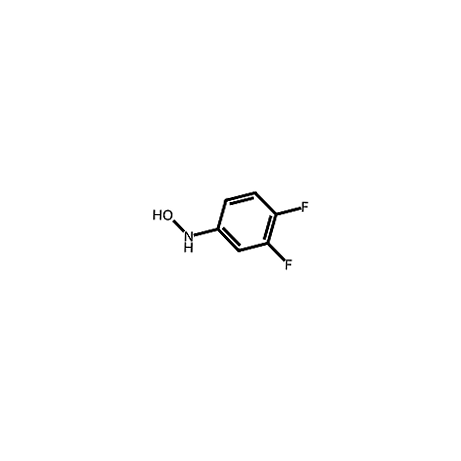 ONc1ccc(F)c(F)c1